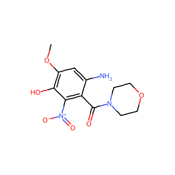 COc1cc(N)c(C(=O)N2CCOCC2)c([N+](=O)[O-])c1O